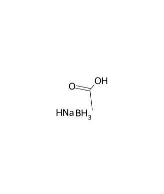 B.CC(=O)O.[NaH]